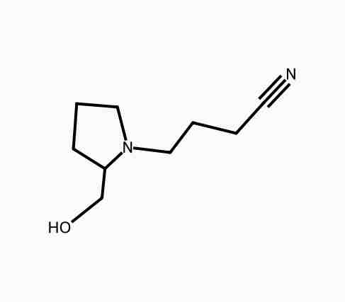 N#CCCCN1CCCC1CO